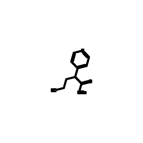 COC(=O)C(CCC#N)c1ccncc1